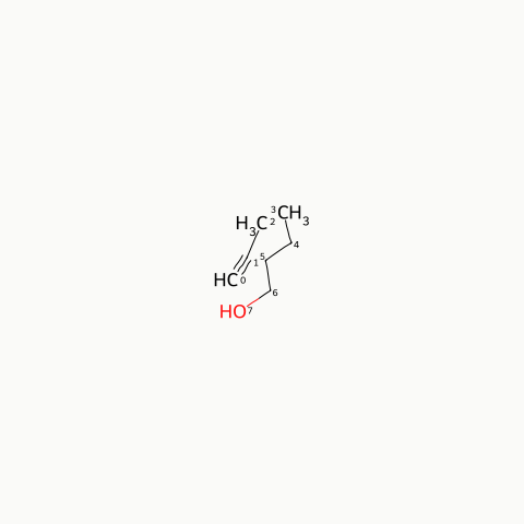 C#CC.CCCCO